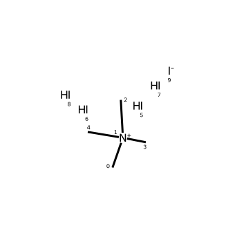 C[N+](C)(C)C.I.I.I.I.[I-]